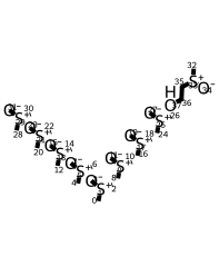 C[S+](C)[O-].C[S+](C)[O-].C[S+](C)[O-].C[S+](C)[O-].C[S+](C)[O-].C[S+](C)[O-].C[S+](C)[O-].C[S+](C)[O-].C[S+]([O-])CCO